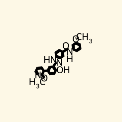 COc1cccc(NC(=O)c2ccc3[nH]c(-c4cc(C5C=CC=NC5OC)ccc4O)nc3c2)c1